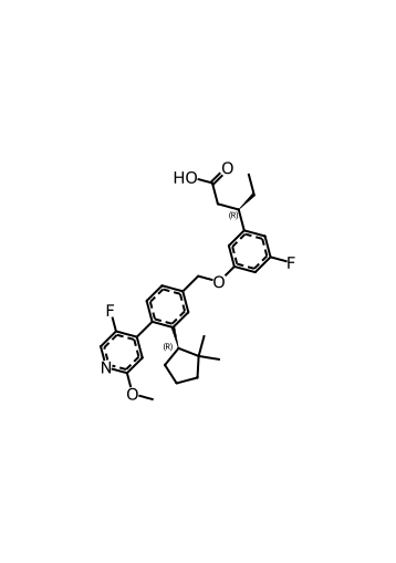 CC[C@H](CC(=O)O)c1cc(F)cc(OCc2ccc(-c3cc(OC)ncc3F)c([C@@H]3CCCC3(C)C)c2)c1